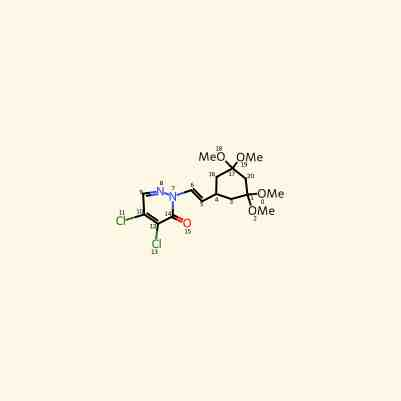 COC1(OC)CC(/C=C/n2ncc(Cl)c(Cl)c2=O)CC(OC)(OC)C1